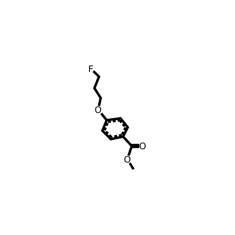 COC(=O)c1ccc(OCCCF)cc1